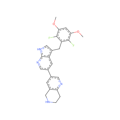 COc1cc(OC)c(F)c(Cc2c[nH]c3ncc(-c4cnc5c(c4)CNCC5)cc23)c1F